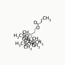 CC=CC(=O)OCCCC[Si](O[Si](C)(C)C)(O[Si](C)(C)C)O[Si](C)(C)C